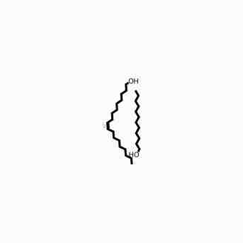 CCCCCCCC/C=C\CCCCCCCCO.CCCCCCCCCCCCO